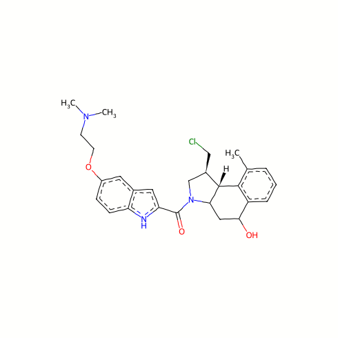 Cc1cccc2c1[C@@H]1C(CC2O)N(C(=O)c2cc3cc(OCCN(C)C)ccc3[nH]2)C[C@H]1CCl